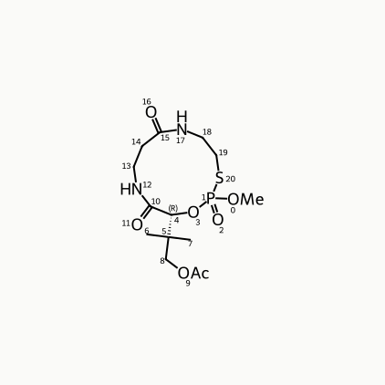 COP1(=O)O[C@H](C(C)(C)COC(C)=O)C(=O)NCCC(=O)NCCS1